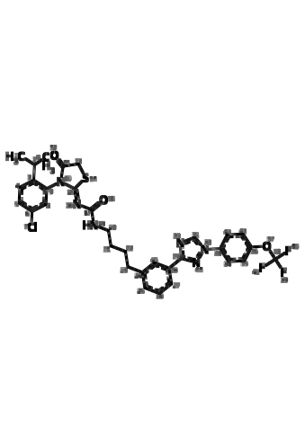 CC(C)c1ccc(Cl)cc1N1C(=O)CSC1=NC(=O)NCCCCc1cccc(-c2ncn(-c3ccc(OC(F)(F)F)cc3)n2)c1